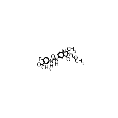 COCCn1c(C)nc2ccc(NC(=O)Nc3ccc(F)c(C(C)=O)c3)cc2c1=O